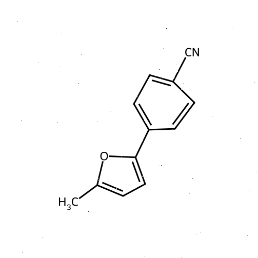 Cc1ccc(-c2ccc(C#N)cc2)o1